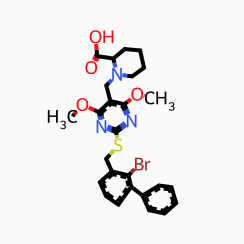 COc1nc(SCc2cccc(-c3ccccc3)c2Br)nc(OC)c1CN1CCCCC1C(=O)O